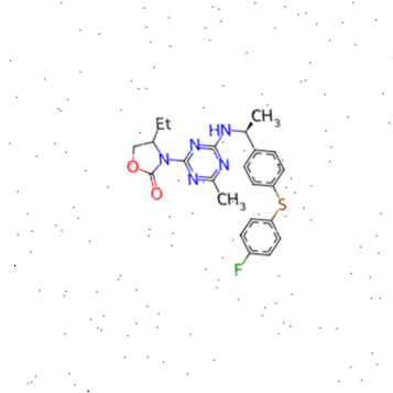 CCC1COC(=O)N1c1nc(C)nc(N[C@@H](C)c2ccc(Sc3ccc(F)cc3)cc2)n1